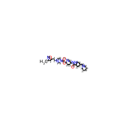 Cc1cc(CCN2CCN(C(=O)Oc3ccc(NC(=O)c4ccc(CN5CCCCC5)cc4)cn3)CC2)on1